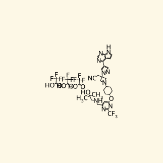 CC(C)(O)CNCc1cc(O[C@H]2CC[C@@H](N3CC(CC#N)(n4cc(-c5ncnc6[nH]ccc56)cn4)C3)CC2)nc(C(F)(F)F)n1.O=C(O)C(F)(F)F.O=C(O)C(F)(F)F.O=C(O)C(F)(F)F